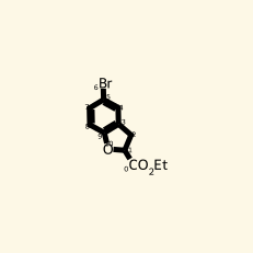 CCOC(=O)C1Cc2cc(Br)ccc2O1